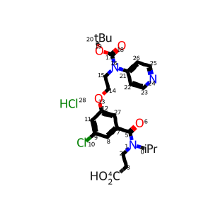 CC(C)N(CCC(=O)O)C(=O)c1cc(Cl)cc(OCCN(C(=O)OC(C)(C)C)c2ccncc2)c1.Cl